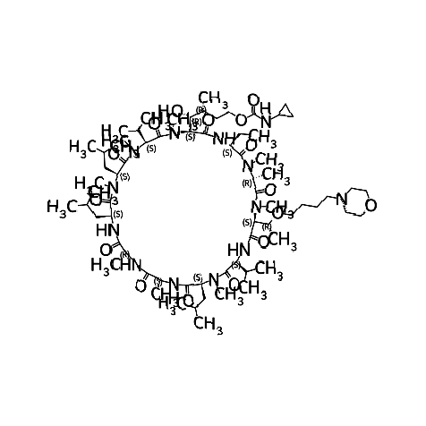 CC[C@@H]1NC(=O)[C@H]([C@H](O)[C@H](C)CCOC(=O)NC2CC2)N(C)C(=O)[C@H](C(C)C)N(C)C(=O)[C@H](CC(C)C)N(C)C(=O)[C@H](CC(C)C)NC(=O)[C@@H](C)NC(=O)[C@H](C)NC(=O)[C@H](CC(C)C)N(C)C(=O)[C@H](C(C)C)NC(=O)[C@H]([C@@H](C)OCCCCN2CCOCC2)N(C)C(=O)[C@@H](C)N(C)C1=O